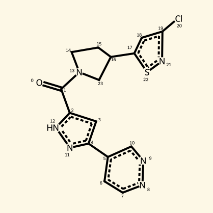 O=C(c1cc(-c2ccnnc2)n[nH]1)N1CCC(c2cc(Cl)ns2)C1